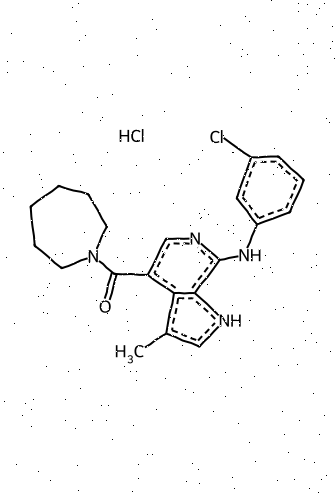 Cc1c[nH]c2c(Nc3cccc(Cl)c3)ncc(C(=O)N3CCCCCC3)c12.Cl